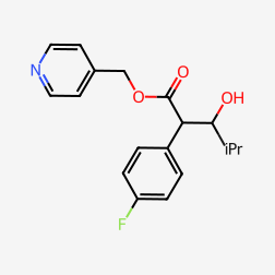 CC(C)C(O)C(C(=O)OCc1ccncc1)c1ccc(F)cc1